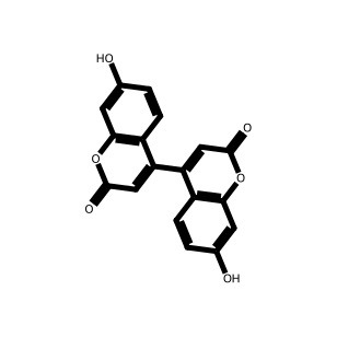 O=c1cc(-c2cc(=O)oc3cc(O)ccc23)c2ccc(O)cc2o1